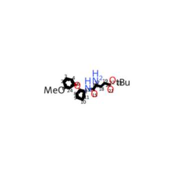 COc1cccc(Oc2ccccc2NC(=O)[C@@H](N)CCC(=O)OC(C)(C)C)c1